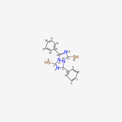 SC1=NC(c2ccccc2)N2C(S)N=C(c3ccccc3)N12